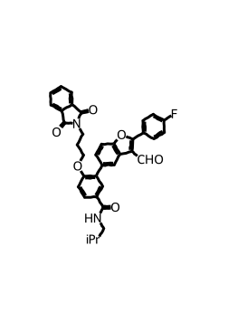 CC(C)CNC(=O)c1ccc(OCCCN2C(=O)c3ccccc3C2=O)c(-c2ccc3oc(-c4ccc(F)cc4)c(C=O)c3c2)c1